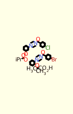 CC(C)(Oc1ccccc1N1CCN(C(=O)c2ccc(Br)cc2)CC1)C(=O)O.CC(C)C(=O)OOc1cccc(N2CCN(C(=O)c3ccc(Cl)cc3)CC2)c1